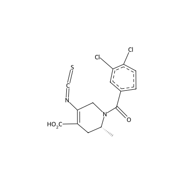 C[C@@H]1CC(C(=O)O)=C(N=C=S)CN1C(=O)c1ccc(Cl)c(Cl)c1